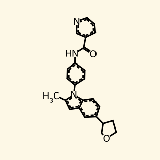 Cc1cc2cc(C3CCOC3)ccc2n1-c1ccc(NC(=O)c2cccnc2)cc1